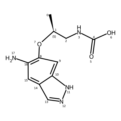 C[C@@H](CNC(=O)O)Oc1cc2[nH]ncc2cc1N